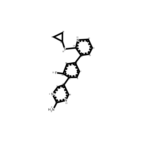 Nc1ncc(-c2ccc(-c3cccnc3SC3CC3)cc2F)cn1